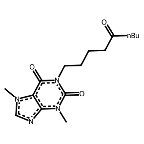 CCCCC(=O)CCCCn1c(=O)c2c(ncn2C)n(C)c1=O